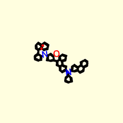 c1ccc(-c2ccccc2N(c2ccccc2)c2ccc3c(c2)Oc2cccc4c2c-3cc2ccc(N(c3ccccc3)c3ccc5c(ccc6ccccc65)c3)cc24)cc1